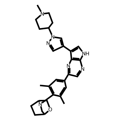 Cc1cc(-c2cnc3[nH]cc(-c4cnn(C5CCN(C)CC5)c4)c3n2)cc(C)c1N1CC2CCC1CO2